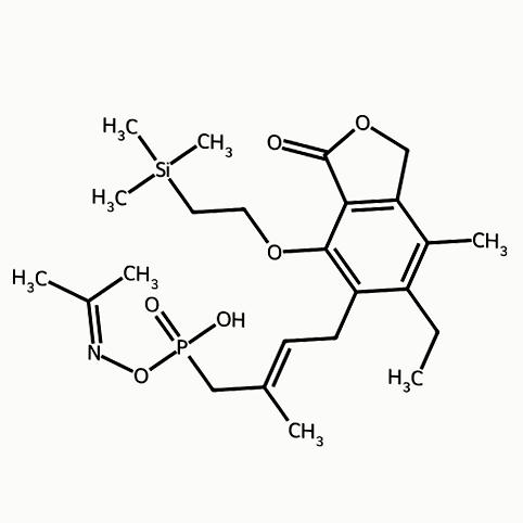 CCc1c(C)c2c(c(OCC[Si](C)(C)C)c1C/C=C(\C)CP(=O)(O)ON=C(C)C)C(=O)OC2